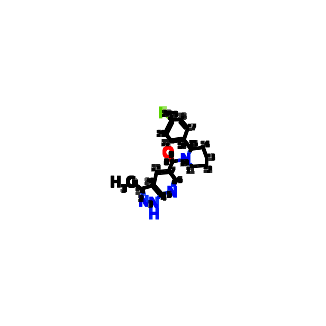 Cc1n[nH]c2ncc(C(=O)N3CCCCC3c3ccc(F)cc3)cc12